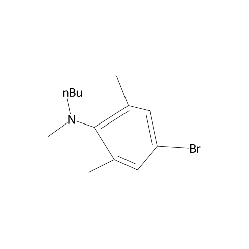 CCCCN(C)c1c(C)cc(Br)cc1C